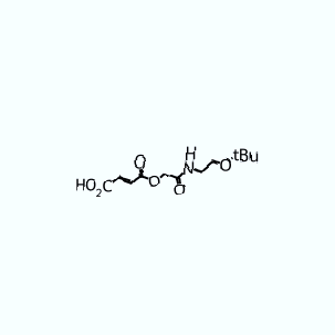 CC(C)(C)OCCNC(=O)COC(=O)C=CC(=O)O